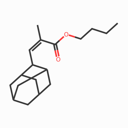 CCCCOC(=O)C(C)=CC1C2CC3CC(C2)CC1C3